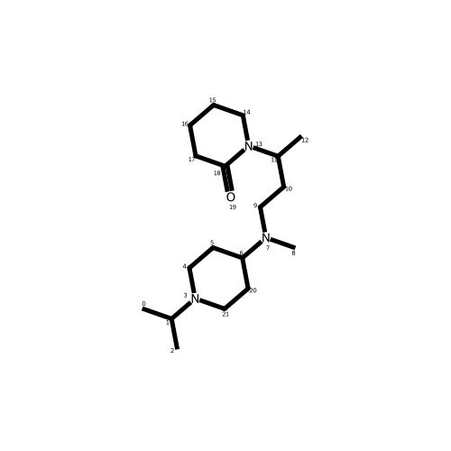 CC(C)N1CCC(N(C)CCC(C)N2CCCCC2=O)CC1